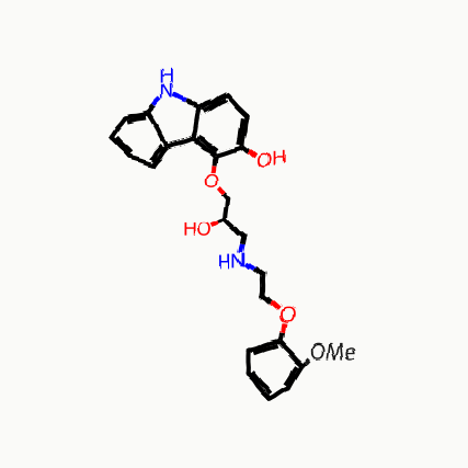 COc1ccccc1OCCNCC(O)COc1c(O)ccc2[nH]c3ccccc3c12